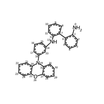 Nc1ccccc1-c1ccccc1Nc1cccc(N2c3ccccc3Oc3ccccc32)c1